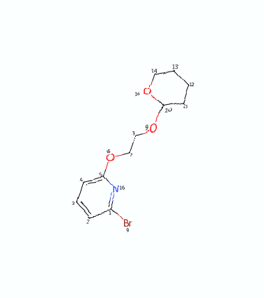 Brc1cccc(OCCOC2CCCCO2)n1